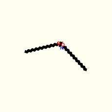 [CH2]C(CN)(OCCCCCCCCCCCCCCCCCC)OCCCCCCCCCCCCCCCCCC